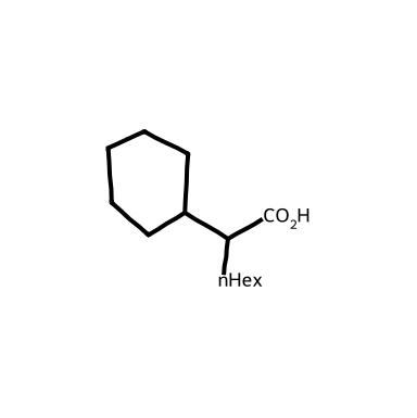 CCCCCCC(C(=O)O)C1CCCCC1